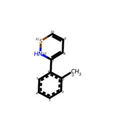 Cc1ccccc1C1=CC=CSN1